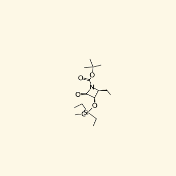 CC[C@H]1[C@@H](O[Si](CC)(CC)CC)C(=O)N1C(=O)OC(C)(C)C